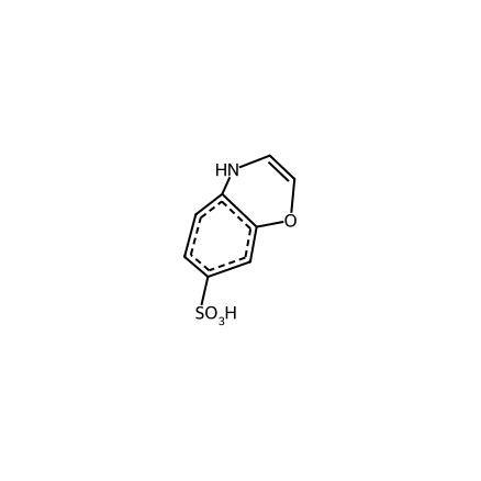 O=S(=O)(O)c1ccc2c(c1)OC=CN2